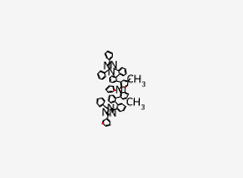 Cc1cc(-c2ccccc2-c2ccccc2-c2nc(-c3ccccc3)nc(-c3ccccc3)n2)c2c(c1)c1cc(C)cc(-c3ccccc3-c3ccccc3-c3nc(-c4ccccc4)nc(-c4ccccc4)n3)c1n2-c1ccccc1